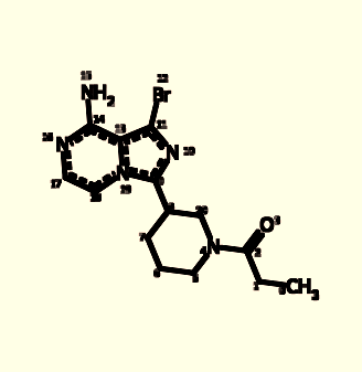 CCC(=O)N1CCCC(c2nc(Br)c3c(N)nccn23)C1